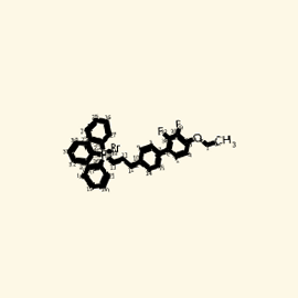 CCOc1ccc(-c2ccc(CCCP(Br)(c3ccccc3)(c3ccccc3)c3ccccc3)cc2)c(F)c1F